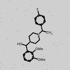 COc1cccc(C(O)C2CCN(C(C)c3ccc(F)cc3)CC2)c1OC